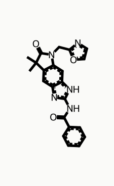 CC1(C)C(=O)N(Cc2ncco2)c2cc3[nH]c(NC(=O)c4ccccc4)nc3cc21